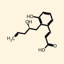 C=CC[C@@H](O)Cc1c(O)cccc1/C=C/C(=O)O